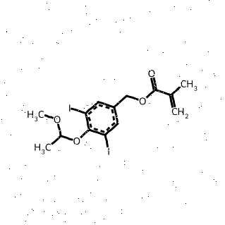 C=C(C)C(=O)OCc1cc(I)c(OC(C)OC)c(I)c1